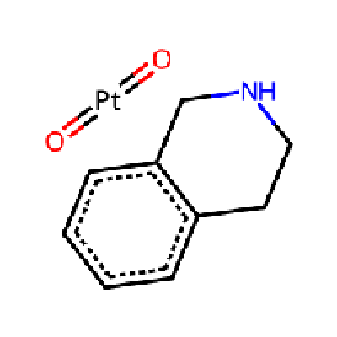 [O]=[Pt]=[O].c1ccc2c(c1)CCNC2